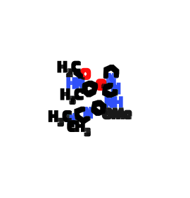 C=CC(=O)Nc1cc(Oc2cc(Nc3ccc(N4CCC(N(C)C)CC4)cc3OC)cnc2N2CCCCC2)ccc1C